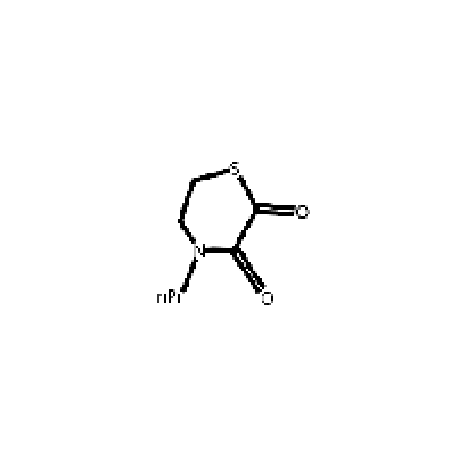 [CH2]CCN1CCSC(=O)C1=O